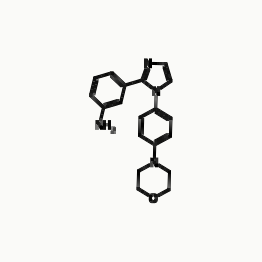 Nc1cccc(-c2nccn2-c2ccc(N3CCOCC3)cc2)c1